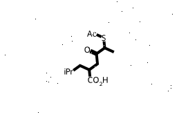 CC(=O)SC(C)C(=O)CC(CC(C)C)C(=O)O